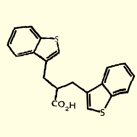 O=C(O)C(Cc1csc2ccccc12)Cc1csc2ccccc12